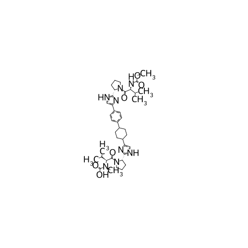 COC(=O)N[C@H](C(=O)N1CCC[C@H]1c1nc(-c2ccc(C3CCC(c4c[nH]c([C@@H]5CCCN5C(=O)[C@H](C(C)C)N(C)C(=O)O)n4)CC3)cc2)c[nH]1)C(C)C